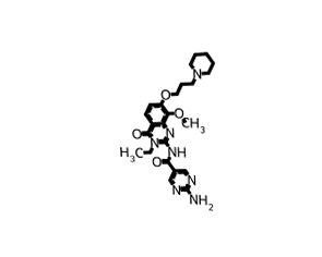 CCn1c(NC(=O)c2cnc(N)nc2)nc2c(OC)c(OCCCN3CCCCC3)ccc2c1=O